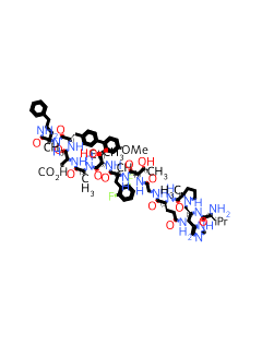 CCc1cc(OC)ccc1-c1ccc(C[C@H](NC(=O)C(CC(=O)O)NC(=O)[C@H](C)NC(=O)[C@@H](NC(=O)[C@](C)(Cc2c(F)cccc2F)NC(=O)[C@@H](NC(=O)CNC(=O)[C@H](CCC(N)=O)NC(=O)[C@]2(C)CCCN2C[C@H](Cc2cnc[nH]2)NC(=O)[C@@H](N)C(C)C)[C@@H](C)O)[C@@H](C)O)C(=O)N[C@@](C)(CCCc2ccccc2)C(N)=O)cc1